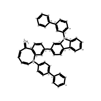 C=C1/C=C\C=C/N(c2ccc(-c3ccccc3)cc2)c2cc(-c3ccc4c5ccccc5n(-c5cccc(-c6ccccc6)c5)c4c3)ccc21